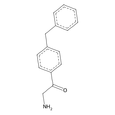 NCC(=O)c1ccc(Cc2ccccc2)cc1